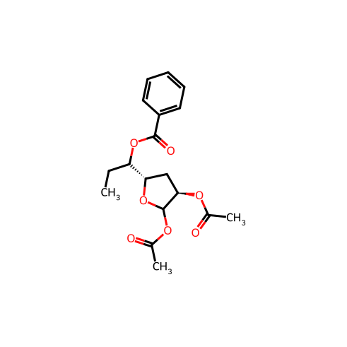 CCC(OC(=O)c1ccccc1)[C@@H]1C[C@@H](OC(C)=O)C(OC(C)=O)O1